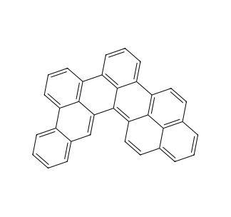 c1ccc2c(c1)cc1c3c2cccc3c2cccc3c4ccc5cccc6ccc(c4c56)c1c23